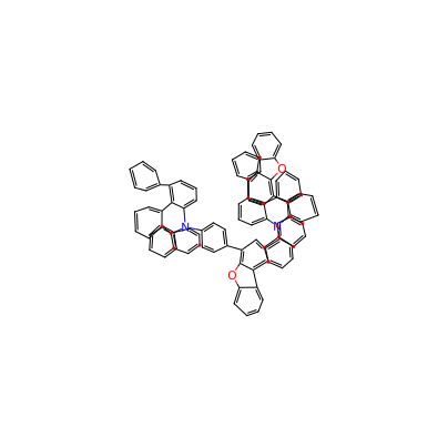 c1ccc(-c2ccccc2-c2c(-c3ccccc3)cccc2N(c2ccccc2)c2ccc(-c3cc(-c4cccc(-c5ccccc5-c5c(-c6ccccc6)cccc5N(c5ccccc5)c5ccccc5-c5cccc6c5oc5ccccc56)c4)cc4c3oc3ccccc34)cc2)cc1